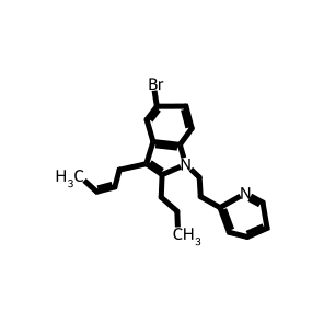 C/C=C\Cc1c(CCC)n(CCc2ccccn2)c2ccc(Br)cc12